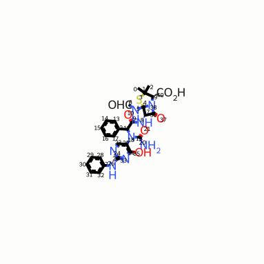 CC1(C)SC2(NC=O)[C@@H](NC(=O)C(c3ccccc3)N(C(N)=O)c3cnc(Nc4ccccc4)nc3O)C(=O)N2[C@H]1C(=O)O